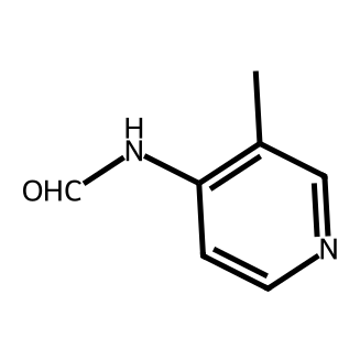 Cc1cnccc1NC=O